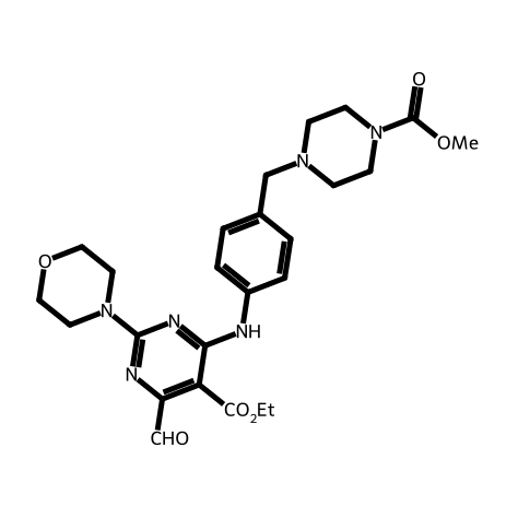 CCOC(=O)c1c(C=O)nc(N2CCOCC2)nc1Nc1ccc(CN2CCN(C(=O)OC)CC2)cc1